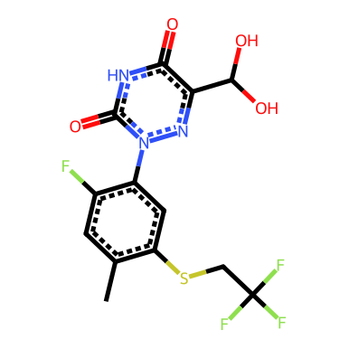 Cc1cc(F)c(-n2nc(C(O)O)c(=O)[nH]c2=O)cc1SCC(F)(F)F